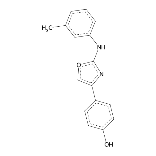 Cc1cccc(Nc2nc(-c3ccc(O)cc3)co2)c1